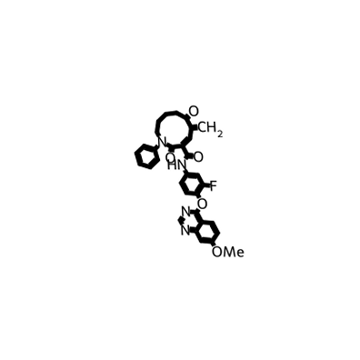 C=C1/C=C(/C(=O)Nc2ccc(Oc3ncnc4cc(OC)ccc34)c(F)c2)C(=O)N(c2ccccc2)CCCCC1=O